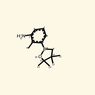 Cc1c(N)cccc1B1CC(C)(C)C(C)(C)O1